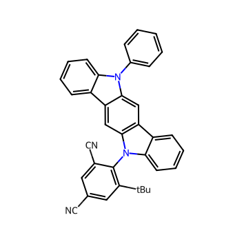 CC(C)(C)c1cc(C#N)cc(C#N)c1-n1c2ccccc2c2cc3c(cc21)c1ccccc1n3-c1ccccc1